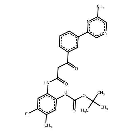 Cc1cncc(-c2cccc(C(=O)CC(=O)Nc3cc(Cl)c(C)cc3NC(=O)OC(C)(C)C)c2)n1